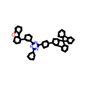 c1ccc(-c2nc(-c3ccc(-c4ccc5c(c4)-c4ccccc4C54c5ccccc5-c5ccccc54)cc3)nc(-c3cccc(-c4cccc5oc6ccccc6c45)c3)n2)cc1